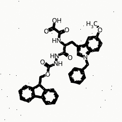 COc1ccc2c(c1)c(CC(NC(=O)C(=O)O)C(=O)NNC(=O)OCC1c3ccccc3-c3ccccc31)cn2Cc1ccccc1